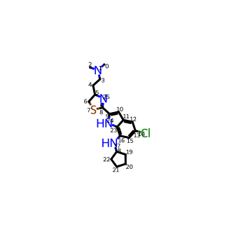 CN(C)CCC1CSC(c2cc3cc(Cl)cc(NC4CCCC4)c3[nH]2)=N1